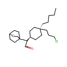 CCCCC[C@]1(CCCCl)CC[C@@H](C(C=O)C23CCC(CC2)CC3)CC1